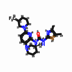 Cc1nc(NC(=O)N2c3nc(N4CCCC(C(F)(F)F)C4)ccc3N3CCC[C@H]2C3)sc1C